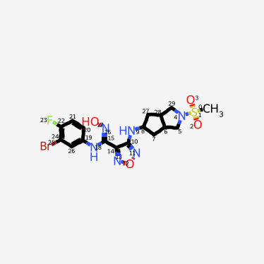 CS(=O)(=O)N1CC2CC(Nc3nonc3C(=NO)Nc3ccc(F)c(Br)c3)CC2C1